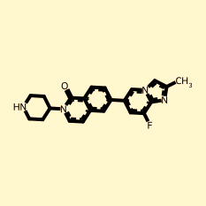 Cc1cn2cc(-c3ccc4c(=O)n(C5CCNCC5)ccc4c3)cc(F)c2n1